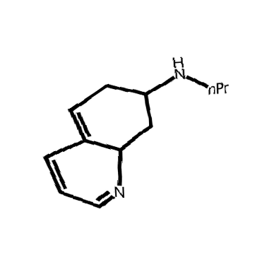 CCCNC1CC=C2C=CC=NC2C1